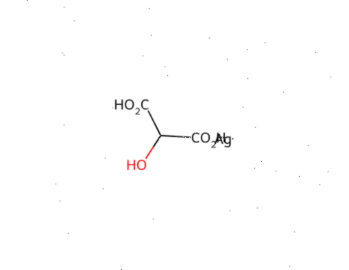 O=C(O)C(O)C(=O)O.[Ag]